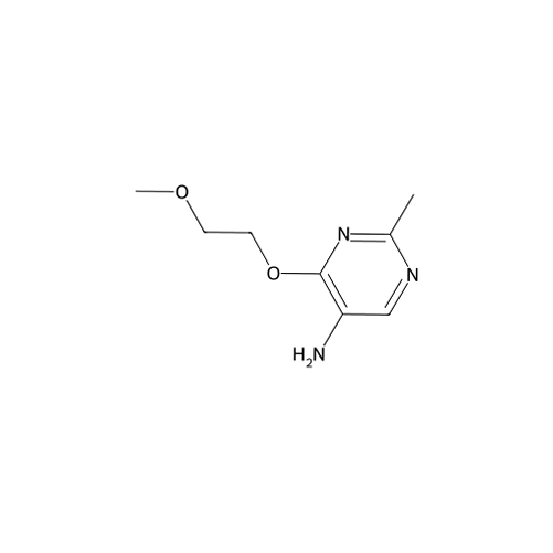 COCCOc1nc(C)ncc1N